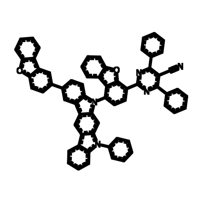 N#Cc1c(-c2ccccc2)nc(-c2ccc(-n3c4ccc(-c5ccc6oc7ccccc7c6c5)cc4c4cc5c6ccccc6n(-c6ccccc6)c5cc43)c3c2oc2ccccc23)nc1-c1ccccc1